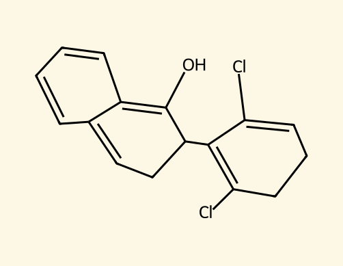 OC1=c2ccccc2=CCC1C1=C(Cl)CCC=C1Cl